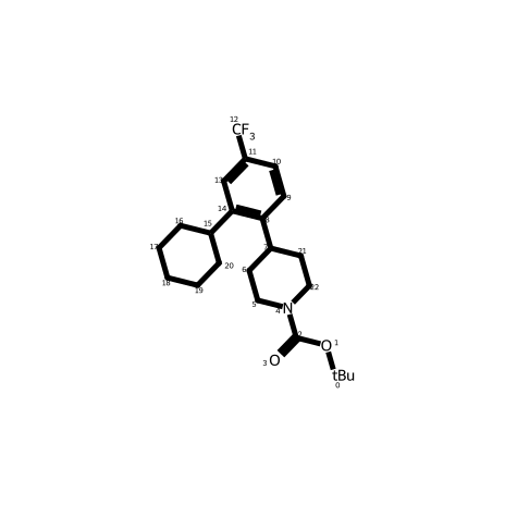 CC(C)(C)OC(=O)N1CCC(c2ccc(C(F)(F)F)cc2C2CCCCC2)CC1